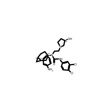 Nc1cccc([C@]23CC[C@@H](N(CCN4CC[C@@H](O)C4)C(=O)Nc4ccc(Cl)c(Cl)c4)CC2C3)c1